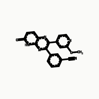 COc1cc(-c2nc3ccc(=O)[nH]c3nc2-c2cccc(C#N)c2)ccn1